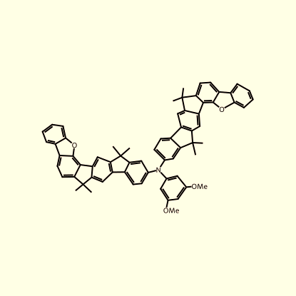 COc1cc(OC)cc(N(c2ccc3c(c2)C(C)(C)c2cc4c(cc2-3)C(C)(C)c2ccc3c(oc5ccccc53)c2-4)c2ccc3c(c2)C(C)(C)c2cc4c(cc2-3)C(C)(C)c2ccc3c(oc5ccccc53)c2-4)c1